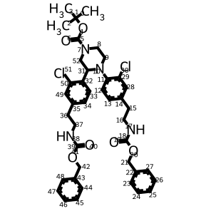 CC(C)(C)OC(=O)N1CCN(c2ccc(CCNC(=O)OCc3ccccc3)cc2Cl)C(c2ccc(CCNC(=O)OCc3ccccc3)cc2Cl)C1